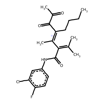 CCCC/C(C(=O)C(C)=O)=C(/C)C(C(=O)Nc1ccc(F)c(Cl)c1)=C(C)C